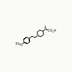 CCOc1ccc(CCN2CCC(N(C)C(=O)O)CC2)cc1